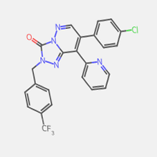 O=c1n(Cc2ccc(C(F)(F)F)cc2)nc2c(-c3ccccn3)c(-c3ccc(Cl)cc3)cnn12